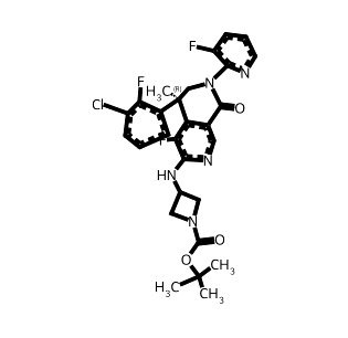 CC(C)(C)OC(=O)N1CC(Nc2ncc3c(c2F)[C@@](C)(c2cccc(Cl)c2F)CN(c2ncccc2F)C3=O)C1